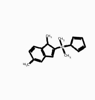 Cc1ccc2c(c1)C=[C]([Zr]([CH3])([CH3])[CH]1C=CC=C1)C2C